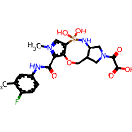 Cc1cc(NC(=O)c2c3c(cn2C)S(O)(O)NC2CN(C(=O)C(=O)O)CC2CO3)ccc1F